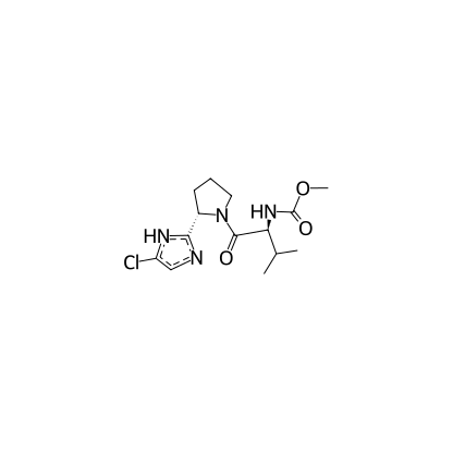 COC(=O)N[C@H](C(=O)N1CCC[C@H]1c1ncc(Cl)[nH]1)C(C)C